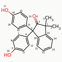 CC1(C)C(=O)C(c2ccc(O)cc2)(c2ccc(O)cc2)c2ccccc21